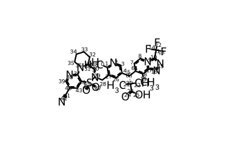 Cc1ncc([C@H](c2ccn3c(C(F)(F)F)nnc3c2C)C(C)(C)C(=O)O)cc1CN1C[C@@H]2CCCCN2c2ncc(C#N)cc2S1(=O)=O